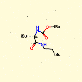 CCC(C)[C@H](NC(=O)OC(C)(C)C)C(=O)NCCC(C)(C)C